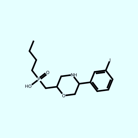 CCCCP(=O)(O)CC1CNC(c2cccc(I)c2)CO1